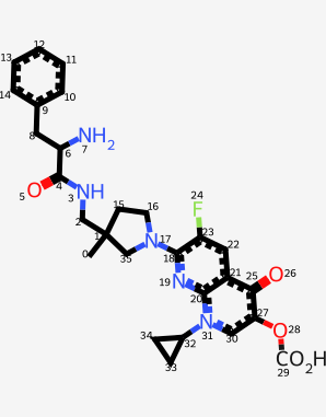 CC1(CNC(=O)C(N)Cc2ccccc2)CCN(c2nc3c(cc2F)c(=O)c(OC(=O)O)cn3C2CC2)C1